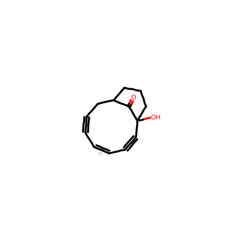 O=C1C2CC#C/C=C\C#CC1(O)CCC2